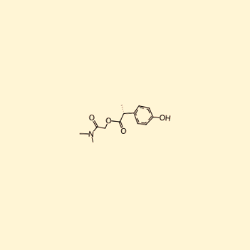 C[C@@H](C(=O)OCC(=O)N(C)C)c1ccc(O)cc1